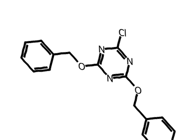 Clc1nc(OCc2ccccc2)nc(OCc2ccccc2)n1